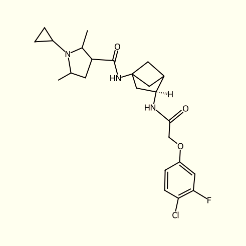 CC1CC(C(=O)NC23CC(C2)[C@@H](NC(=O)COc2ccc(Cl)c(F)c2)C3)C(C)N1C1CC1